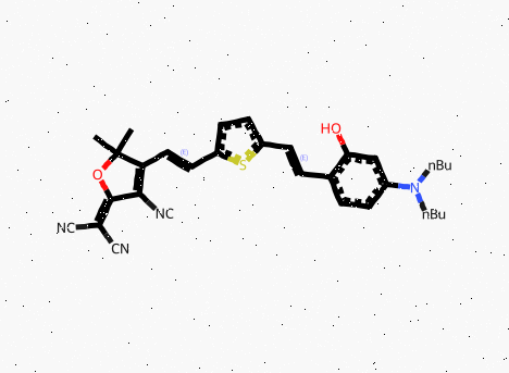 [C-]#[N+]C1=C(/C=C/c2ccc(/C=C/c3ccc(N(CCCC)CCCC)cc3O)s2)C(C)(C)OC1=C(C#N)C#N